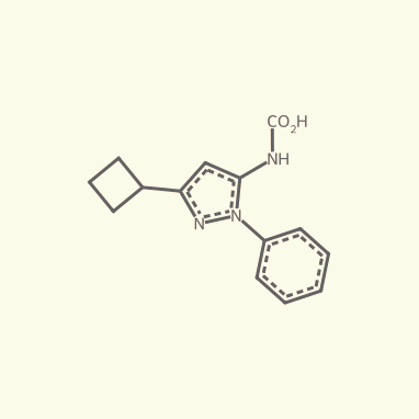 O=C(O)Nc1cc(C2CCC2)nn1-c1ccccc1